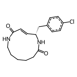 O=C1/C=C/[C@H](Cc2ccc(Cl)cc2)NC(=O)CCCCCN1